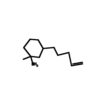 BC1(C)CCCC(CCCC=C)C1